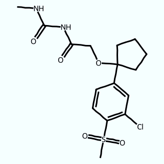 CNC(=O)NC(=O)COC1(c2ccc(S(C)(=O)=O)c(Cl)c2)CCCC1